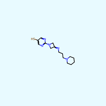 Sc1cnc(N2CC(=NCCCN3CCCCC3)C2)nc1